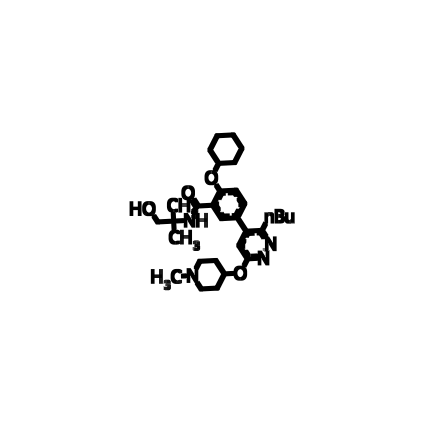 CCCCc1nnc(OC2CCN(C)CC2)cc1-c1ccc(OC2CCCCC2)c(C(=O)NC(C)(C)CO)c1